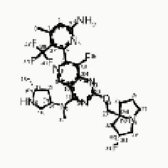 Cc1cc(N)nc(-c2ncc3c(N(C)[C@H]4CN[C@H](C)C4)nc(OC[C@@]45CCCN4C[C@H](F)C5)nc3c2F)c1C(F)(F)F